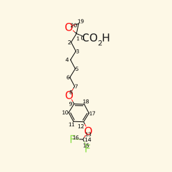 O=C(O)C1(CCCCCCOc2ccc(OC(F)F)cc2)CO1